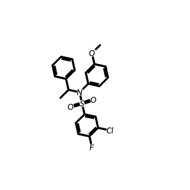 COc1cccc(N(C(C)c2ccccc2)S(=O)(=O)c2ccc(F)c(Cl)c2)c1